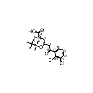 CC(C)(C)[Si](C)(C)O[C@@H](CNC(=O)O)CC(=O)c1cncc(Cl)c1Cl